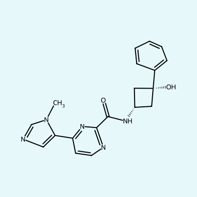 Cn1cncc1-c1ccnc(C(=O)N[C@H]2C[C@](O)(c3ccccc3)C2)n1